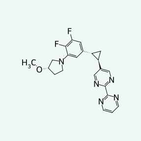 CO[C@H]1CCN(c2cc([C@@H]3C[C@H]3c3cnc(-c4ncccn4)nc3)cc(F)c2F)C1